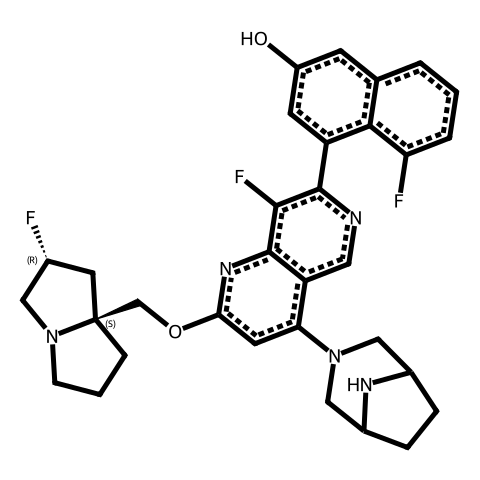 Oc1cc(-c2ncc3c(N4CC5CCC(C4)N5)cc(OC[C@@]45CCCN4C[C@H](F)C5)nc3c2F)c2c(F)cccc2c1